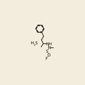 CC(CCc1ccccc1)NN(C)SOF.S